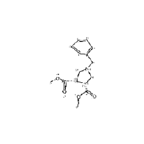 COC(=O)[C@H]1CN(Cc2ccccc2)C[C@H]1C(=O)OC